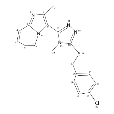 Cc1nc2ccccn2c1-c1nnc(SCc2ccc(Cl)cc2)n1C